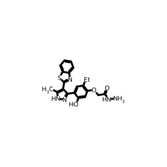 CCc1cc(-c2n[nH]c(C)c2-c2nc3ccccc3s2)c(O)cc1OCC(=O)NN